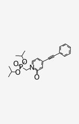 CC(C)OP(=O)(Cn1ccc(C#Cc2ccccc2)cc1=O)OC(C)C